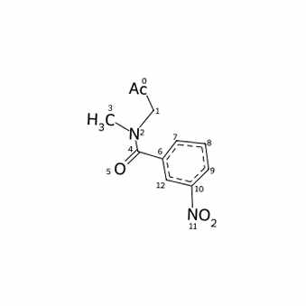 CC(=O)CN(C)C(=O)c1cccc([N+](=O)[O-])c1